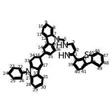 N=C(/C=C\NCn1c2ccccc2c2cc(C3C=c4c(n(-c5ccccc5)c5ccccc45)=CC3)ccc21)c1cccc2c1sc1ccccc12